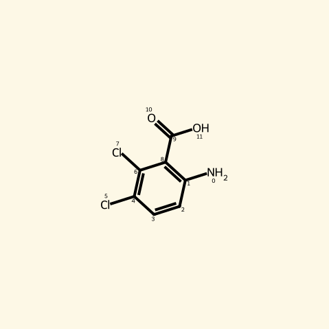 Nc1ccc(Cl)c(Cl)c1C(=O)O